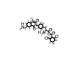 CNCc1ccc2c(c1)c(=O)n(-c1ccc(C[C@H](N)C(=O)OC(=O)c3c(Cl)cccc3Cl)cc1)c(=O)n2C